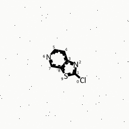 Clc1nc2ccncc2s1